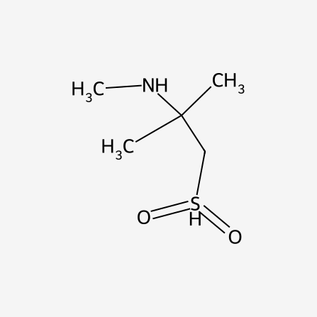 CNC(C)(C)C[SH](=O)=O